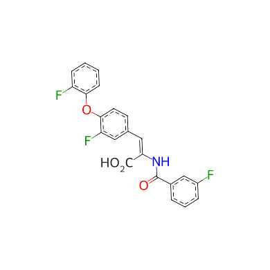 O=C(O)/C(=C\c1ccc(Oc2ccccc2F)c(F)c1)NC(=O)c1cccc(F)c1